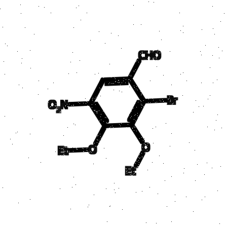 CCOc1c([N+](=O)[O-])cc(C=O)c(Br)c1OCC